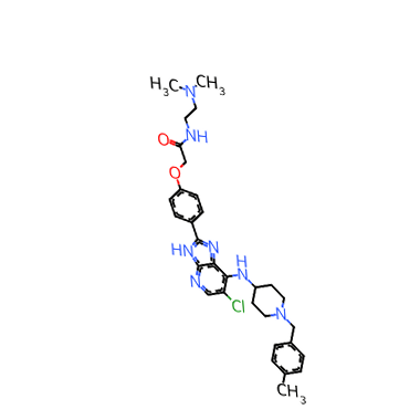 Cc1ccc(CN2CCC(Nc3c(Cl)cnc4[nH]c(-c5ccc(OCC(=O)NCCN(C)C)cc5)nc34)CC2)cc1